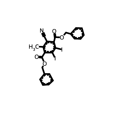 Cc1c(C#N)c(C(=O)OCc2ccccc2)c(I)c(I)c1C(=O)OCc1ccccc1